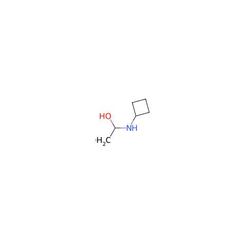 [CH2]C(O)NC1CCC1